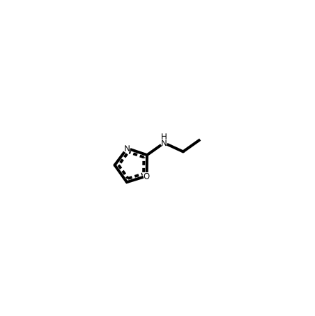 CCNc1ncco1